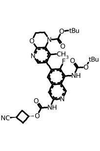 Cc1c(-c2cc3cc(NC(=O)O[C@H]4C[C@H](C#N)C4)ncc3c(NC(=O)OC(C)(C)C)c2F)cnc2c1N(C(=O)OC(C)(C)C)CCO2